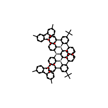 Cc1ccc2c(c1)c1cc(C)ccc1n2-c1ccc2c(c1)N(c1c(-c3ccccc3)cc(C(C)(C)C)cc1-c1ccccc1)c1cc(C(C)C)cc3c1B2c1ccc(-n2c4ccc(C)cc4c4cc(C)ccc42)cc1N3c1c(-c2ccccc2)cc(C(C)(C)C)cc1-c1ccccc1